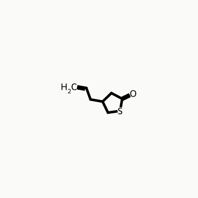 C=CCC1CSC(=O)C1